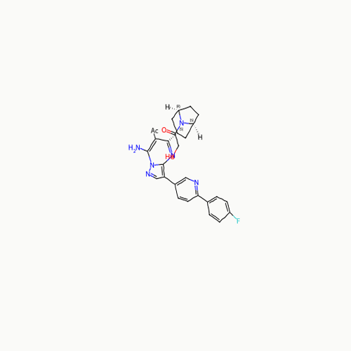 CC(=O)c1c([C@@H]2C[C@H]3CC[C@@H](C2)N3C(=O)CO)nc2c(-c3ccc(-c4ccc(F)cc4)nc3)cnn2c1N